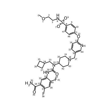 COCCNS(=O)(=O)c1ccc(Oc2ccc(CN3CCC(N(CC4CCC4)C(=O)Nc4cc(C(N)=O)c(F)cc4F)CC3)cn2)cc1